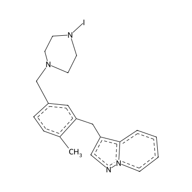 Cc1ccc(CN2CCN(I)CC2)cc1Cc1cnn2ccccc12